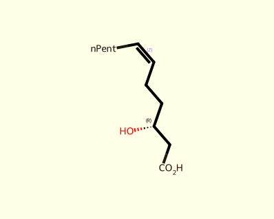 CCCCC/C=C\CC[C@@H](O)CC(=O)O